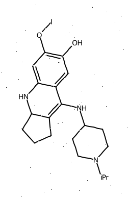 CC(C)N1CCC(NC2=C3CCCC3Nc3cc(OI)c(O)cc32)CC1